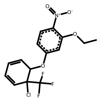 CCOc1cc(OC2C=CC=CC2(Cl)C(F)(F)F)ccc1[N+](=O)[O-]